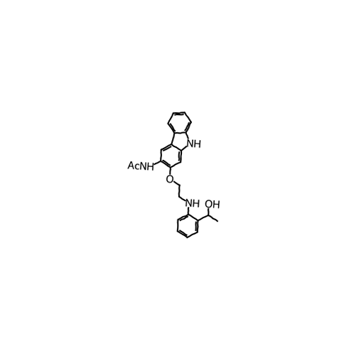 CC(=O)Nc1cc2c(cc1OCCNc1ccccc1C(C)O)[nH]c1ccccc12